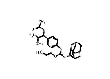 CCCOC(CC1C2CC3CC(C2)CC1C3)Oc1ccc(C(CC(C)C)C(C)C)cc1